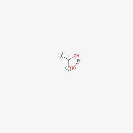 CCO.OC(C(F)(F)F)C(F)(F)F